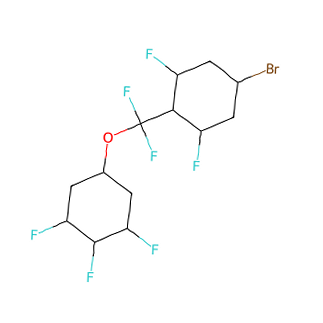 FC1CC(OC(F)(F)C2C(F)CC(Br)CC2F)CC(F)C1F